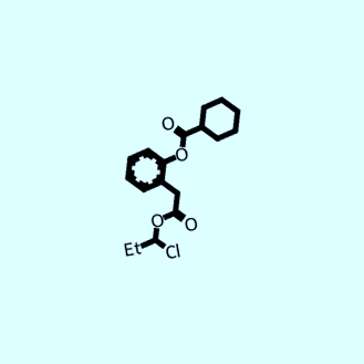 CCC(Cl)OC(=O)Cc1ccccc1OC(=O)C1CCCCC1